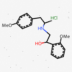 COc1ccc(CC(C)NCC(O)c2ccccc2OC)cc1.Cl